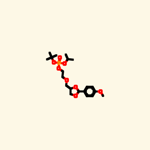 COc1ccc(C2OCC(COCCOP(=O)(OC(C)C)OC(C)(C)C)O2)cc1